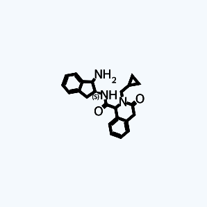 NC1c2ccccc2C[C@@H]1NC(=O)C1c2ccccc2CC(=O)N1CC1CC1